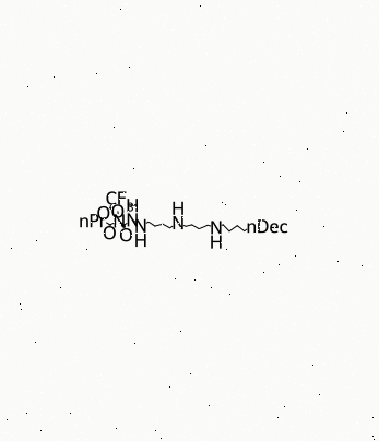 CCCCCCCCCCCCCCNCCCCNCCCCNNC(=O)N(OC(=O)C(F)(F)F)C(=O)CCC